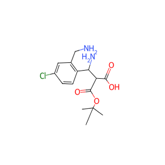 CC(C)(C)OC(=O)C(C(=O)O)C(N)c1ccc(Cl)cc1CN